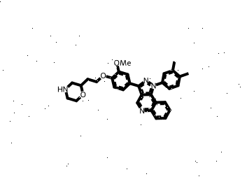 COc1cc(-c2nn(-c3ccc(C)c(C)c3)c3c2cnc2ccccc23)ccc1OCCC1CNCCO1